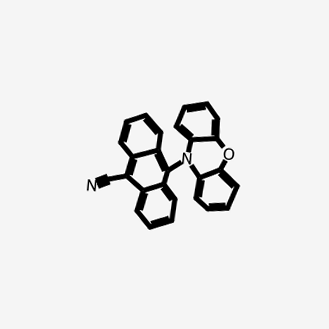 N#Cc1c2ccccc2c(N2c3ccccc3Oc3ccccc32)c2ccccc12